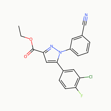 CCOC(=O)c1cc(-c2ccc(F)c(Cl)c2)n(-c2cccc(C#N)c2)n1